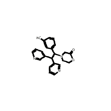 N#Cc1cccc(C(C(c2cccnc2)c2cccnc2)N2CCOC(=O)C2)c1